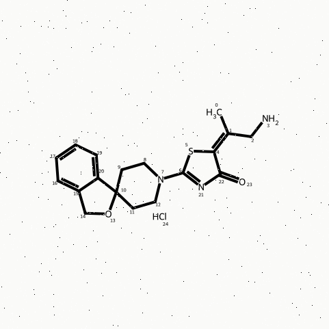 C/C(CN)=C1\SC(N2CCC3(CC2)OCc2ccccc23)=NC1=O.Cl